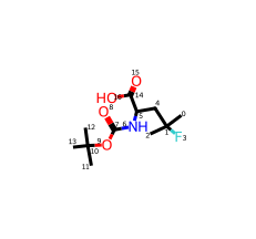 CC(C)(F)CC(NC(=O)OC(C)(C)C)C(=O)O